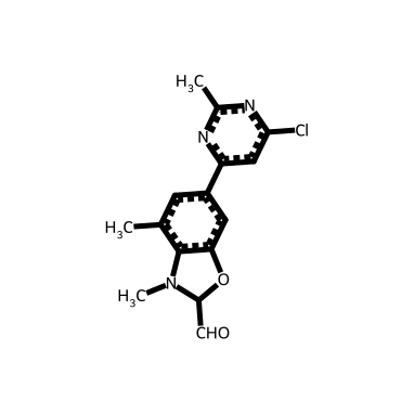 Cc1nc(Cl)cc(-c2cc(C)c3c(c2)OC(C=O)N3C)n1